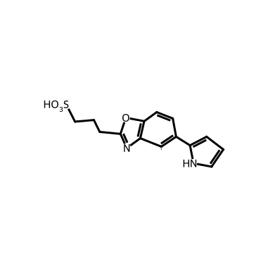 O=S(=O)(O)CCCc1nc2[c]c(-c3ccc[nH]3)ccc2o1